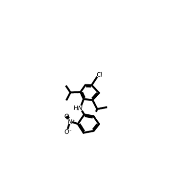 CC(C)c1cc(Cl)cc(C(C)C)c1Nc1ccccc1[N+](=O)[O-]